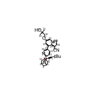 CC(C)(C)C#CCN1C2CC1CN(c1ccc(-c3cc(OCC(C)(C)O)cn4ncc(C#N)c34)cn1)C2